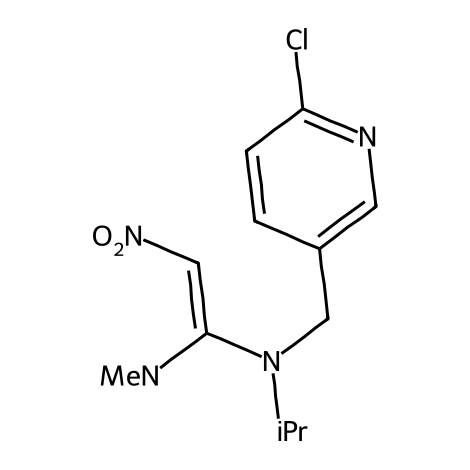 CNC(=C[N+](=O)[O-])N(Cc1ccc(Cl)nc1)C(C)C